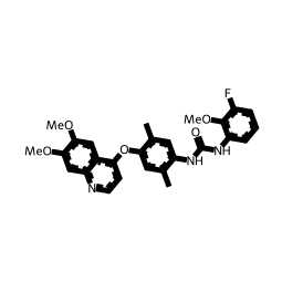 COc1cc2nccc(Oc3cc(C)c(NC(=O)Nc4cccc(F)c4OC)cc3C)c2cc1OC